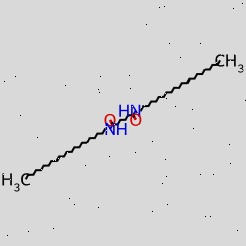 CCCCCCCCC=CCCCCCCCCCCCCNC(=O)CCCCC(=O)NCCCCCCCCCCCCC=CCCCCCCCC